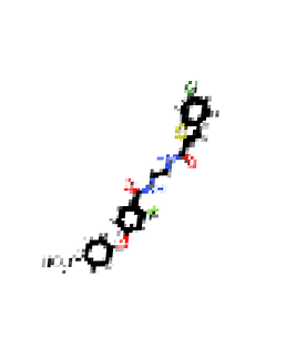 O=C(NCCNC(=O)c1ccc(O[C@H]2CC[C@@H](C(=O)O)CC2)cc1F)c1cc2ccc(Cl)cc2s1